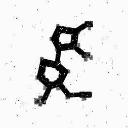 Cn1c(C#N)ccc1-c1ccc(N)c(CC=O)c1